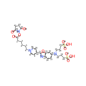 O=C(CCCCC[n+]1ccc(-c2nc3ccc(N(CCCS(=O)(=O)O)CCCS(=O)(=O)O)cc3o2)cc1)ON1C(=O)CCC1=O